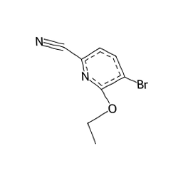 CCOc1nc(C#N)ccc1Br